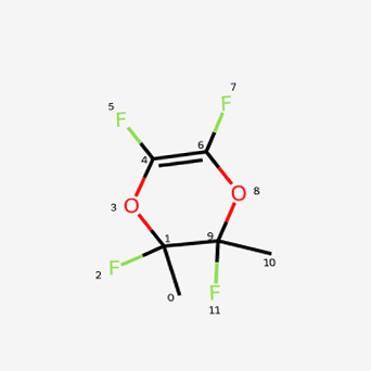 CC1(F)OC(F)=C(F)OC1(C)F